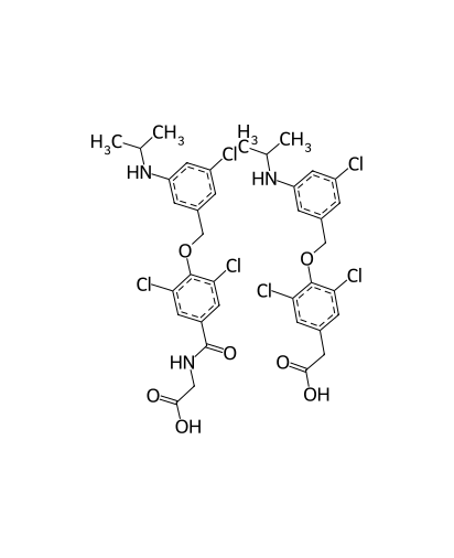 CC(C)Nc1cc(Cl)cc(COc2c(Cl)cc(C(=O)NCC(=O)O)cc2Cl)c1.CC(C)Nc1cc(Cl)cc(COc2c(Cl)cc(CC(=O)O)cc2Cl)c1